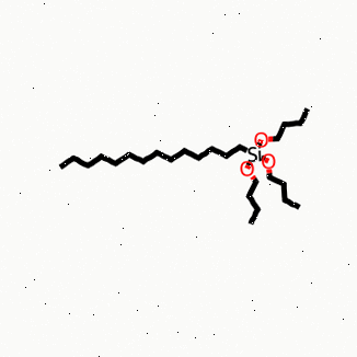 CCCCCCCCCCCCCC[Si](OCCCC)(OCCCC)OCCCC